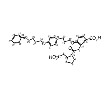 O=C(O)CC1CCCN1C(=O)Cc1cc(C(=O)O)ccc1OCCCc1ccc(OCCCCOc2ccccc2)cc1